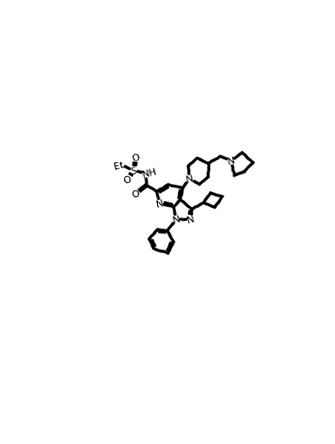 CCS(=O)(=O)NC(=O)c1cc(N2CCC(CN3CCCC3)CC2)c2c(C3CCC3)nn(-c3ccccc3)c2n1